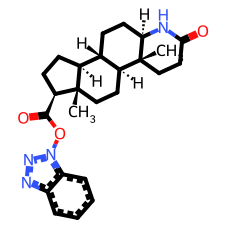 C[C@]12CCC(=O)N[C@@H]1CC[C@@H]1[C@@H]2CC[C@]2(C)[C@@H](C(=O)On3nnc4ccccc43)CC[C@@H]12